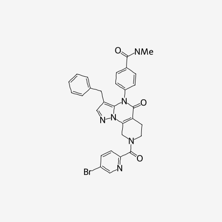 CNC(=O)c1ccc(-n2c(=O)c3c(n4ncc(Cc5ccccc5)c24)CN(C(=O)c2ccc(Br)cn2)CC3)cc1